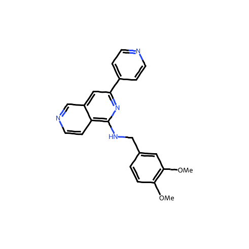 COc1ccc(CNc2nc(-c3ccncc3)cc3cnccc23)cc1OC